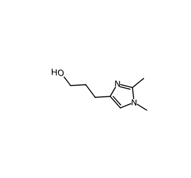 Cc1nc(CCCO)cn1C